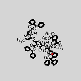 CC(=O)Oc1ccc(C(=O)C(C)(C)ON=C(C(=O)N[C@@H]2C(=O)N3C(C(=O)OC(c4ccccc4)c4ccccc4)=C(CSC4=CC(C)=NC5=CN(C(=O)OC(c6ccccc6)c6ccccc6)NN54)CS[C@H]23)c2csc(NC(c3ccccc3)(c3ccccc3)c3ccccc3)n2)cc1OC(C)=O